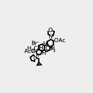 CC(=O)O[C@H]1C[C@@H]2CC[C@@H]3[C@H](CC[C@@]4(C)[C@H]3C[C@H]([N+]3(CC5CC5)CCCC3)[C@@H]4OC(C)=O)[C@@]2(C)C[C@@H]1N1CCOCC1.[Br-]